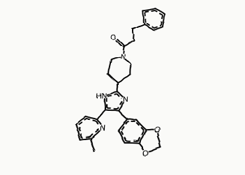 Cc1cccc(-c2[nH]c(C3CCN(C(=O)CCc4ccccc4)CC3)nc2-c2ccc3c(c2)OCO3)n1